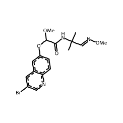 CO/N=C/C(C)(C)NC(=O)C(OC)Oc1ccc2ncc(Br)cc2c1